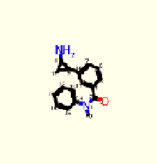 CN(C(=O)c1cccc(C2CC2N)c1)c1ccccc1